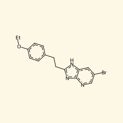 CCOc1ccc(CCc2nc3ncc(Br)cc3[nH]2)cc1